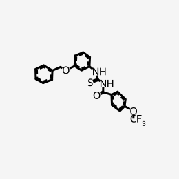 O=C(NC(=S)Nc1cccc(OCc2ccccc2)c1)c1ccc(OC(F)(F)F)cc1